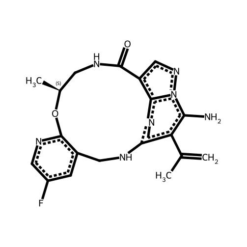 C=C(C)c1c2nc3c(cnn3c1N)C(=O)NC[C@H](C)Oc1ncc(F)cc1CN2